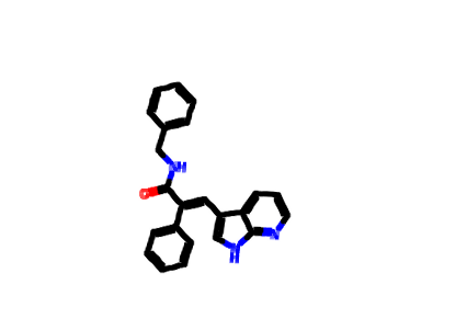 O=C(NCc1ccccc1)/C(=C/c1c[nH]c2ncccc12)c1ccccc1